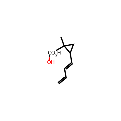 C=CC=CC1CC1(C)C.O=C(O)O